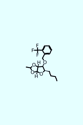 CCCC[C@H]1O[C@@H]2OC(C)O[C@@H]2[C@H]1OCc1ccccc1C(F)(F)F